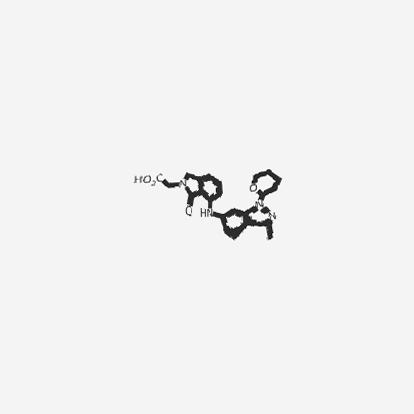 Cc1nn(C2CCCCO2)c2cc(Nc3cccc4c3C(=O)N(CC(=O)O)C4)ccc12